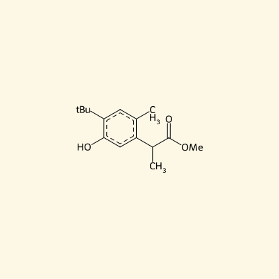 COC(=O)C(C)c1cc(O)c(C(C)(C)C)cc1C